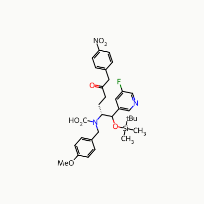 COc1ccc(CN(C(=O)O)[C@H](CCC(=O)Cc2ccc([N+](=O)[O-])cc2)C(O[Si](C)(C)C(C)(C)C)c2cncc(F)c2)cc1